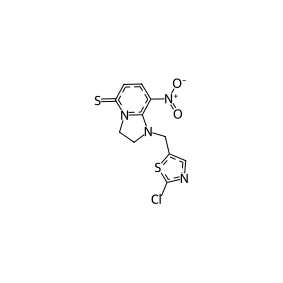 O=[N+]([O-])c1ccc(=S)n2c1N(Cc1cnc(Cl)s1)CC2